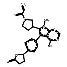 C=CC(=O)N1CCC(c2c(-c3ccc(C4CCC(=O)N4)cc3)c3c(N)ncnc3n2C)C1